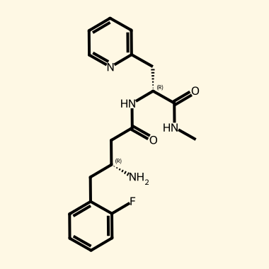 CNC(=O)[C@@H](Cc1ccccn1)NC(=O)C[C@H](N)Cc1ccccc1F